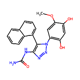 COc1cc(-n2nnc(NC(N)=O)c2-c2cccc3ccccc23)c(O)cc1O